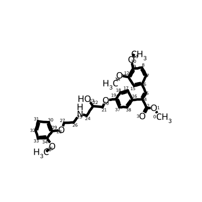 COC(=O)/C(=C/c1ccc(OC)c(OC)c1)c1ccc(OCC(O)CNCCOc2ccccc2OC)cc1